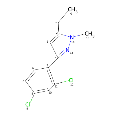 CCc1cc(-c2ccc(Cl)cc2Cl)nn1C